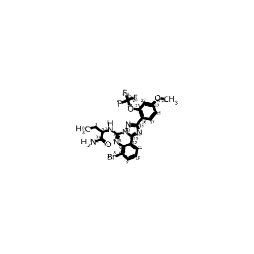 CCC(Nc1nc2c(Br)cccc2c2nc(-c3ccc(OC)cc3OC(F)(F)F)nn12)C(N)=O